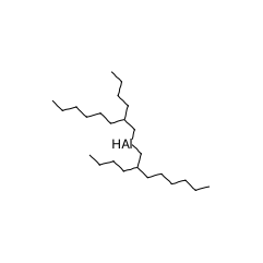 CCCCCCC(CCCC)[CH2][AlH][CH2]C(CCCC)CCCCCC